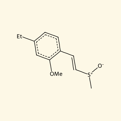 CCc1ccc(C=C[S+](C)[O-])c(OC)c1